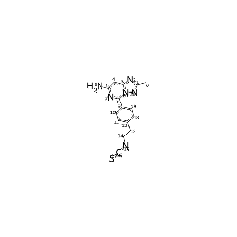 Cc1nc2cc(N)nc(-c3ccc(CCN=C=S)cc3)n2n1